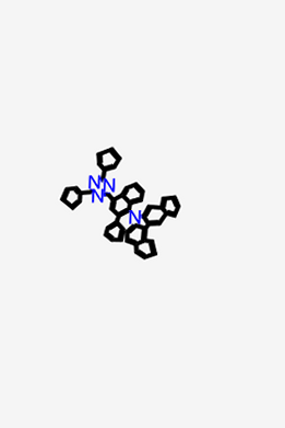 c1ccc(-c2nc(-c3ccccc3)nc(-c3cc(-c4ccccc4)c(-n4c5cc6ccccc6cc5c5c6ccccc6ccc54)c4ccccc34)n2)cc1